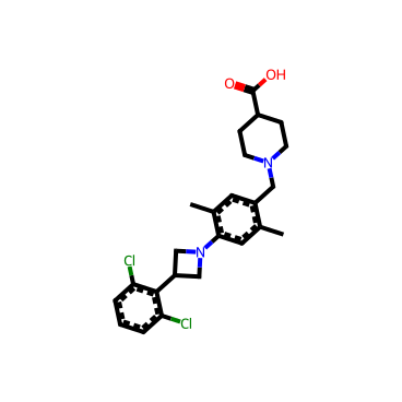 Cc1cc(N2CC(c3c(Cl)cccc3Cl)C2)c(C)cc1CN1CCC(C(=O)O)CC1